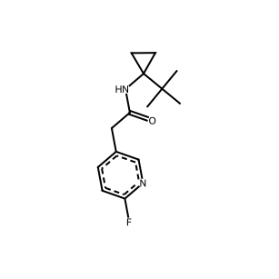 CC(C)(C)C1(NC(=O)Cc2ccc(F)nc2)CC1